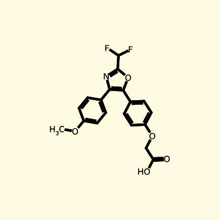 COc1ccc(-c2nc(C(F)F)oc2-c2ccc(OCC(=O)O)cc2)cc1